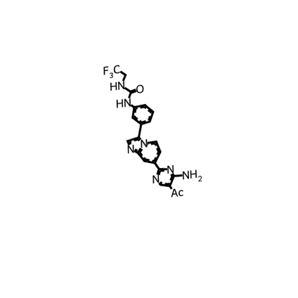 CC(=O)c1cnc(-c2ccn3c(-c4cccc(NC(=O)NCC(F)(F)F)c4)cnc3c2)nc1N